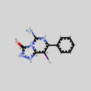 Nc1nc(-c2ccccc2)c(I)c2n[nH]c(=O)n12